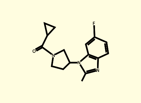 Cc1nc2ccc(F)cc2n1C1CCN(C(=O)C2CC2)C1